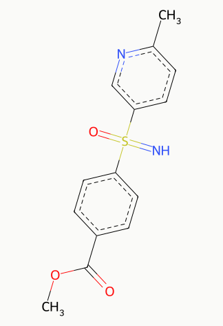 COC(=O)c1ccc(S(=N)(=O)c2ccc(C)nc2)cc1